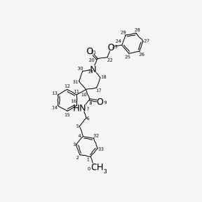 Cc1ccc(CCNC(=O)C2(c3ccccc3)CCN(C(=O)COc3ccccc3)CC2)cc1